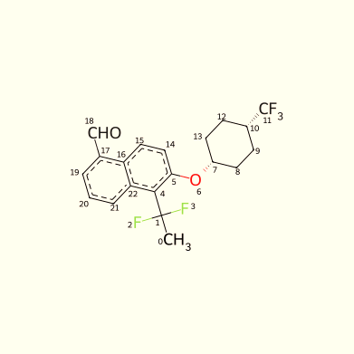 CC(F)(F)c1c(O[C@H]2CC[C@@H](C(F)(F)F)CC2)ccc2c(C=O)cccc12